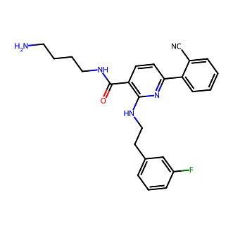 N#Cc1ccccc1-c1ccc(C(=O)NCCCCN)c(NCCc2cccc(F)c2)n1